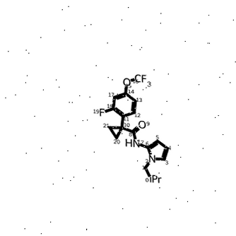 CC(C)Cn1cccc1NC(=O)C1(c2ccc(OC(F)(F)F)cc2F)CC1